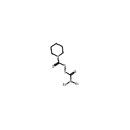 CCN(CC)C(=S)SSC(=S)N1CCCCC1